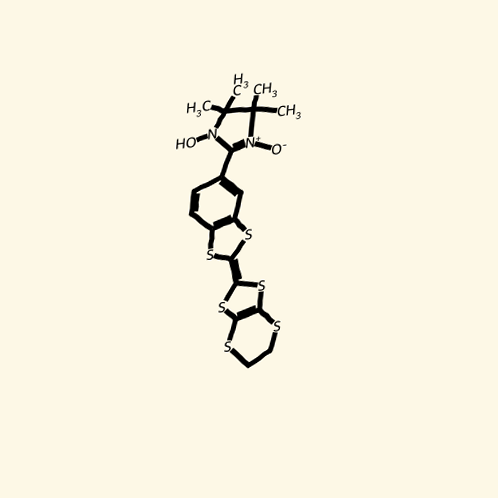 CC1(C)N(O)C(c2ccc3c(c2)SC(=C2SC4=C(SCCS4)S2)S3)=[N+]([O-])C1(C)C